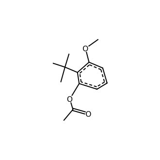 COc1cccc(OC(C)=O)c1C(C)(C)C